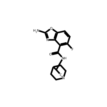 Nc1nc2c(C(=O)NC3CN4CCC3CC4)c(F)ccc2o1